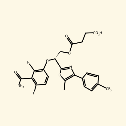 Cc1oc([C@@H](COC(=O)CCC(=O)O)Oc2ccc(F)c(C(N)=O)c2F)nc1-c1ccc(C(F)(F)F)cc1